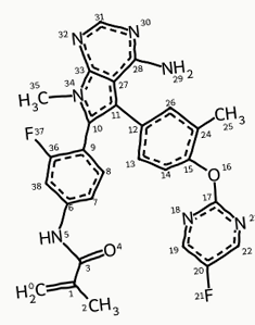 C=C(C)C(=O)Nc1ccc(-c2c(-c3ccc(Oc4ncc(F)cn4)c(C)c3)c3c(N)ncnc3n2C)c(F)c1